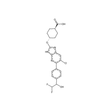 O=C(O)[C@H]1CC[C@H](Oc2nc3cc(Cl)c(-c4ccc(C(O)C(F)F)cc4)nc3[nH]2)CC1